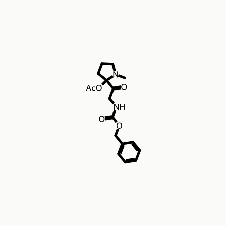 CC(=O)OC1(C(=O)CNC(=O)OCc2ccccc2)CCCN1C